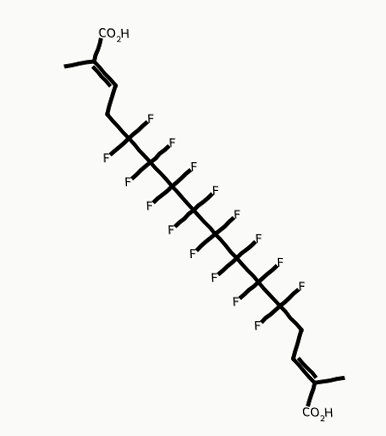 CC(=CCC(F)(F)C(F)(F)C(F)(F)C(F)(F)C(F)(F)C(F)(F)C(F)(F)C(F)(F)CC=C(C)C(=O)O)C(=O)O